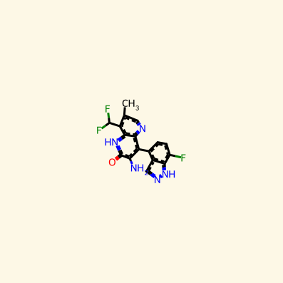 Cc1cnc2c(-c3ccc(F)c4[nH]ncc34)c(N)c(=O)[nH]c2c1C(F)F